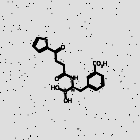 O=C(CCC(=O)c1cccs1)N[C@@H](Cc1cccc(C(=O)O)c1)B(O)O